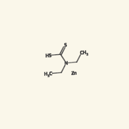 CCN(CC)C(=S)S.[Zn]